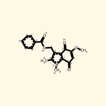 COC1=CC(=O)c2c(c(COC(=O)c3ccccc3)c(C)n2C)C1=O